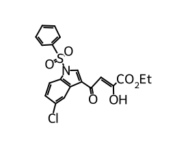 CCOC(=O)/C(O)=C/C(=O)c1cn(S(=O)(=O)c2ccccc2)c2ccc(Cl)cc12